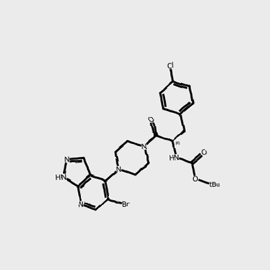 CC(C)(C)OC(=O)N[C@H](Cc1ccc(Cl)cc1)C(=O)N1CCN(c2c(Br)cnc3[nH]ncc23)CC1